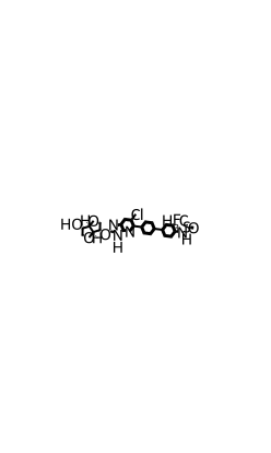 C/[SH](=O)=N\c1ccc(-c2ccc(-c3nc4[nH]c(O[C@@H]5CO[C@H]6[C@@H]5OC[C@H]6O)nc4cc3Cl)cc2)cc1F